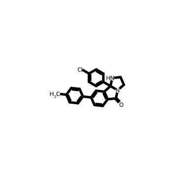 Cc1ccc(-c2ccc3c(c2)C2(c4ccc(Cl)cc4)NCCN2C3=O)cc1